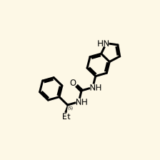 CC[C@H](NC(=O)Nc1ccc2[nH]ccc2c1)c1ccccc1